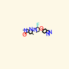 Cc1cc2c(nc1N1CC[C@@H](Oc3ccc4c(cnn4C)c3)[C@@H](F)C1)CN(C)C2=O